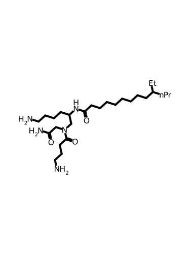 CCCC(CC)CCCCCCCCC(=O)NC(CCCCN)CN(CC(N)=O)C(=O)CCCN